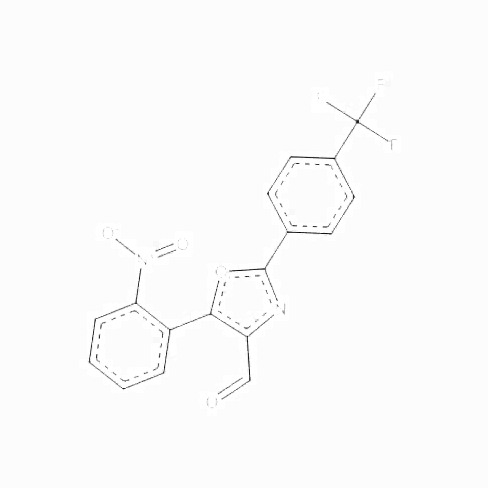 O=Cc1nc(-c2ccc(C(F)(F)F)cc2)oc1-c1ccccc1[N+](=O)[O-]